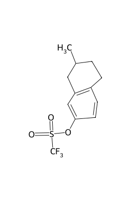 CC1CCc2ccc(OS(=O)(=O)C(F)(F)F)cc2C1